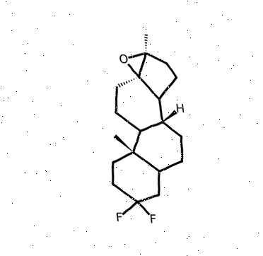 C[C@]12CCC(F)(F)CC1CC[C@@H]1C2CC[C@]23O[C@@]2(C)CCC13